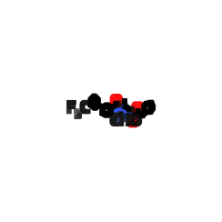 CC1CN(C(=O)C2=CC3C=CC=CC3O2)CCN1C(=O)c1cc(-c2cccc(C(F)(F)F)c2)ccc1NC=O